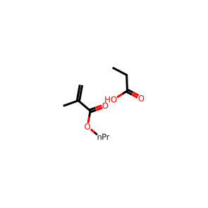 CCC(=O)O.[CH2]CCOC(=O)C(=C)C